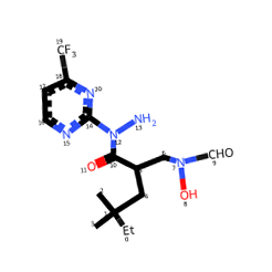 CCC(C)(C)CC(CN(O)C=O)C(=O)N(N)c1nccc(C(F)(F)F)n1